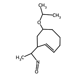 CC(C)OC1CCC/C=C/C(C(C)N=O)C1